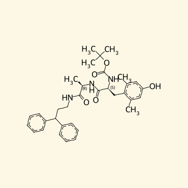 Cc1cc(O)cc(C)c1C[C@H](NC(=O)OC(C)(C)C)C(=O)N[C@H](C)C(=O)NCCC(c1ccccc1)c1ccccc1